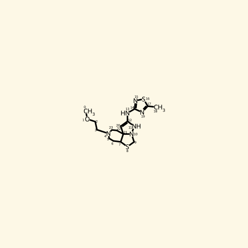 COCCN1CCC2SCN3NC(Nc4nsc(C)n4)=CC23CC1